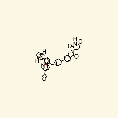 O=C1CCC(N2Cc3cc(C4CCN(Cc5ccc(N6[C@@H]7CC[C@H]6CC(Oc6ncc(C8COC8)cn6)C7)cc5)CC4)ccc3C2=O)C(=O)N1